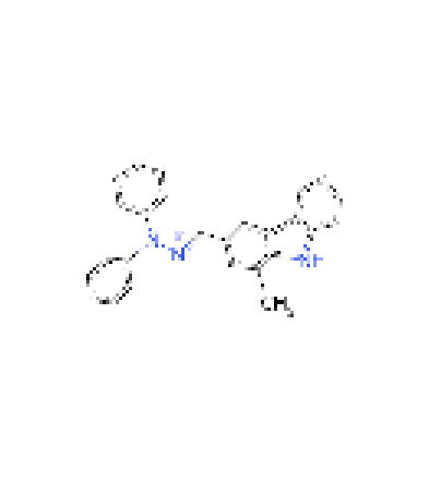 Cc1cc(/C=N/N(c2ccccc2)c2ccccc2)cc2c1[nH]c1ccccc12